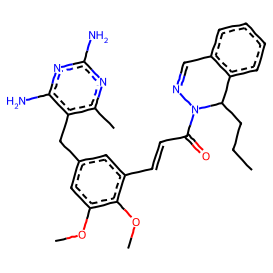 CCCC1c2ccccc2C=NN1C(=O)/C=C/c1cc(Cc2c(C)nc(N)nc2N)cc(OC)c1OC